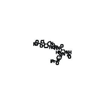 CC(C)C(=O)N1CCN(C2=NC(NC3COC3)CC(C(=O)NC[C@H](O)CN3CCc4c(ccc(OCc5cnco5)c4Cl)C3)N2)CC1